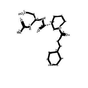 CC(C)(C)C(=O)N[C@@H](CC(=O)O)NC(=O)[C@@H]1CCCN(C(=O)CCC2CCNCC2)C1